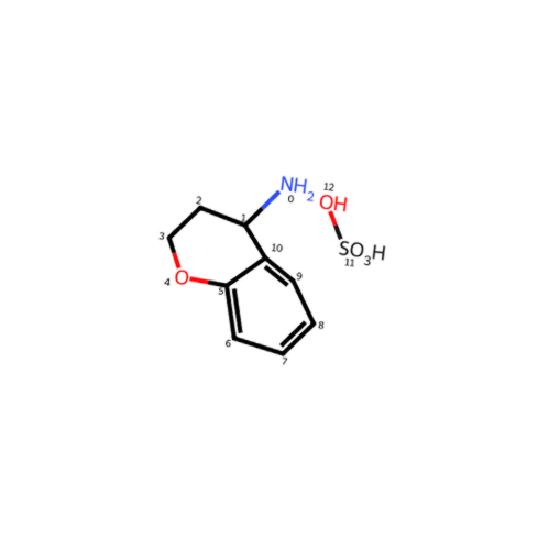 NC1CCOc2ccccc21.O=S(=O)(O)O